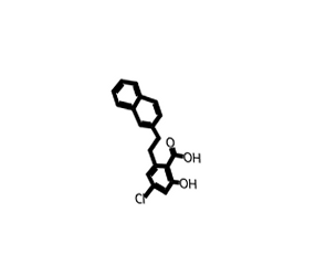 O=C(O)c1c(O)cc(Cl)cc1CCc1ccc2ccccc2c1